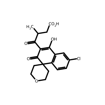 CC(CC(=O)O)C(=O)C1=C(O)c2cc(Cl)ccc2C2(CCOCC2)C1=O